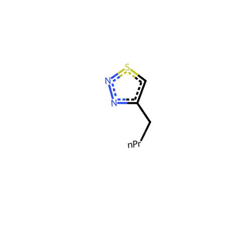 [CH2]CCCc1csnn1